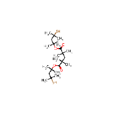 CC(C)(S)CC(C)(C)OC(=O)C(C)(C)CC(C)(C)C(=O)OC(C)(C)CC(C)(C)S